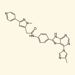 Cc1cn(-c2ncnc3[nH]c(-c4ccc(NC(=O)Cc5cc(-c6ccncc6)nn5C)cc4)nc23)cn1